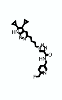 O=C(NCc1ccc(CF)nc1)c1cn(CCCCc2cc3c(C4CC4)c(C4CC4)[nH]c3nn2)nn1